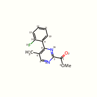 COC(=O)c1ncc(C)c(-c2ccccc2F)n1